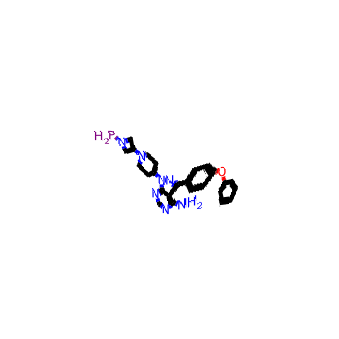 Nc1ncnc2c1c(-c1ccc(Oc3ccccc3)cc1)nn2C1CCN(C2CN(P)C2)CC1